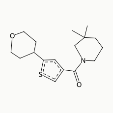 CC1(C)CCCN(C(=O)c2csc(C3CCOCC3)c2)C1